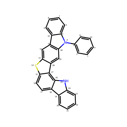 c1ccc(-n2c3ccccc3c3cc4sc5ccc6c7ccccc7[nH]c6c5c4cc32)cc1